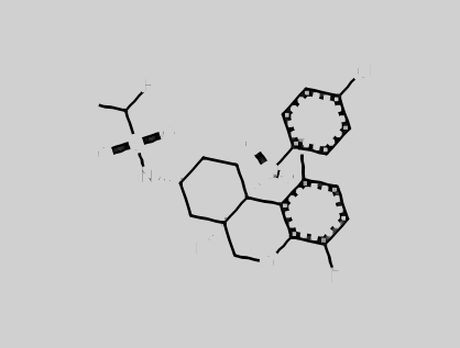 O=S(=O)(N[C@@H]1CC[C@@]2(S(=O)(=O)c3ccc(Cl)cc3)c3c(F)ccc(F)c3OC[C@H]2C1)C(F)F